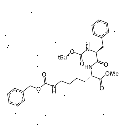 COC(=O)[C@H](CCCCNC(=O)OCc1ccccc1)NC(=O)[C@H](Cc1ccccc1)NC(=O)OC(C)(C)C